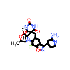 C[C@@H]1CN2c3c(cc4c(-c5ccnc(N)c5)noc4c3F)CC3(C(=O)NC(=O)NC3=O)[C@H]2[C@H](C)O1